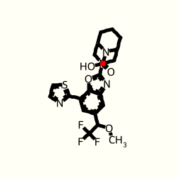 COC(c1cc(-c2nccs2)c2oc(N3CC4CCCC(C3)N4C(=O)O)nc2c1)C(F)(F)F